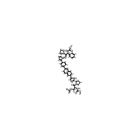 COC(=O)N[C@H](C(=O)N1CCC[C@H]1c1ncc(-c2ccc3cc(-c4ccc(-c5cnc([C@@H]6CCCN6C(=O)[C@H](NC(=O)OC)c6ccccc6)[nH]5)cc4)ccc3c2)[nH]1)[C@@H](C)OC(F)F